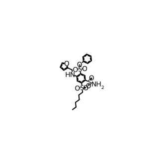 CCCCCCS(=O)(=O)c1cc(NCc2ccco2)c(S(=O)(=O)Oc2ccccc2)cc1S(N)(=O)=O